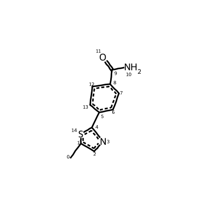 Cc1cnc(-c2ccc(C(N)=O)cc2)s1